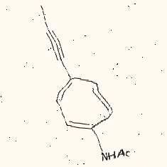 CC#Cc1ccc(NC(C)=O)cc1